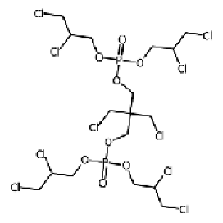 O=P(OCC(Cl)CCl)(OCC(Cl)CCl)OCC(CCl)(CCl)COP(=O)(OCC(Cl)CCl)OCC(Cl)CCl